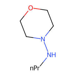 [CH2]CCNN1CCOCC1